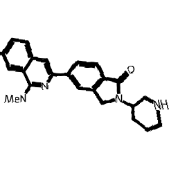 CNc1nc(-c2ccc3c(c2)CN(C2CCCNC2)C3=O)cc2ccccc12